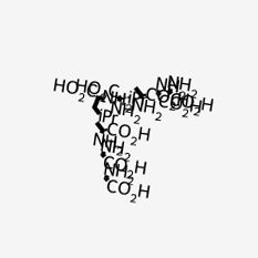 CC(C)C[C@H](N)C(=O)O.CC(C)[C@H](N)C(=O)O.C[C@H](N)C(=O)O.C[C@H](N)C(=O)O.NCC(=O)O.NCC(=O)O.NCC(=O)O.NCC(=O)O